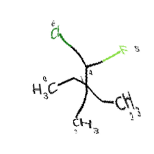 CC(C)(C)C(F)Cl